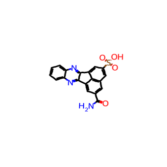 NC(=O)c1cc2c3c(cc(S(=O)(=O)O)cc3c1)-c1nc3ccccc3nc1-2